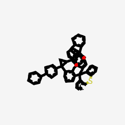 c1ccc(-c2ccc(C3(c4cccc5c4-c4c(ccc6ccccc46)C54c5ccccc5Sc5ccccc54)CC3c3cccc4c3Cc3ccccc3-4)cc2)cc1